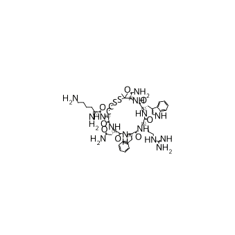 CC1(C)SSCC[C@H](NC(=O)[C@H](N)CCCCN)C(=O)N[C@@H](CC(N)=O)C(=O)N[C@H](Cc2ccccc2)C(=O)N[C@@H](CCCNC(=N)N)C(=O)N[C@@H](Cc2c[nH]c3ccccc23)C(=O)N[C@@H]1C(N)=O